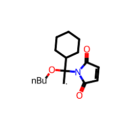 [CH2]C(OCCCC)(C1CCCCC1)N1C(=O)C=CC1=O